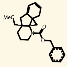 COC[C@]12CCCN(C(=O)OCc3ccccc3)[C@]13CC31CC=CC=C1C2